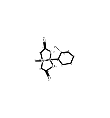 C[C@@H]1CCCCC1[B-]12OC(=O)C[N+]1(C)CC(=O)O2